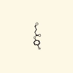 O=CCCC(=O)Oc1ccc(Br)cc1